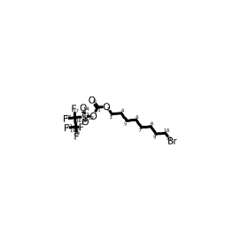 O=C(OCCCCCCCCBr)OS(=O)(=O)C(F)(F)C(F)(F)F